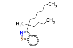 CCCCCCC(C)(CCCC)c1nsc2ccccc12